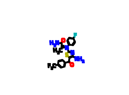 C[C@H](C(N)=O)N(c1ccc(F)cc1)c1nc(N)c(C(=O)c2ccc(C(F)(F)F)cc2)s1